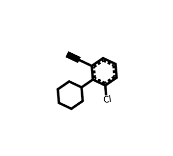 C#Cc1cccc(Cl)c1C1CCCCC1